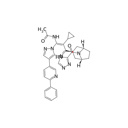 CC(=O)Nc1c(C2CC2)c([C@@H]2C[C@H]3CC[C@@H](C2)N3C(=O)c2nnc[nH]2)nc2c(-c3ccc(-c4ccccc4)nc3)cnn12